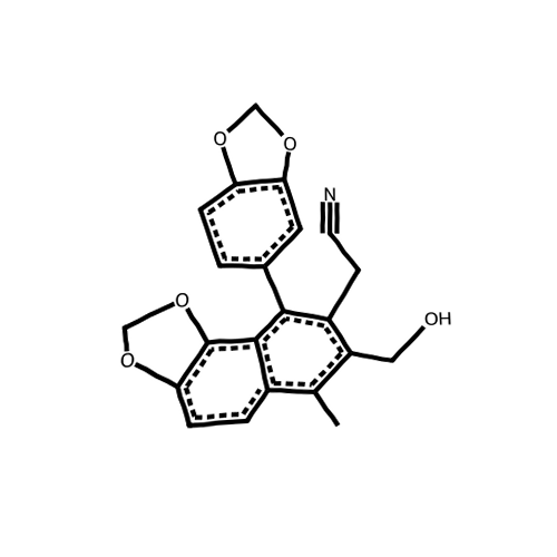 Cc1c(CO)c(CC#N)c(-c2ccc3c(c2)OCO3)c2c3c(ccc12)OCO3